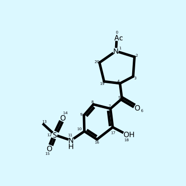 CC(=O)N1CCC(C(=O)c2ccc(NS(C)(=O)=O)cc2O)CC1